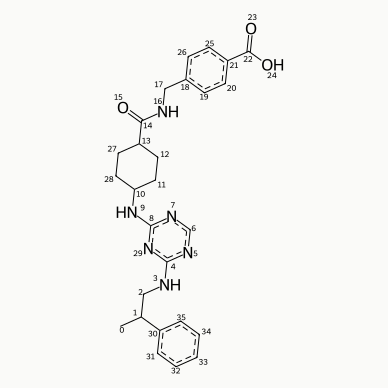 CC(CNc1ncnc(NC2CCC(C(=O)NCc3ccc(C(=O)O)cc3)CC2)n1)c1ccccc1